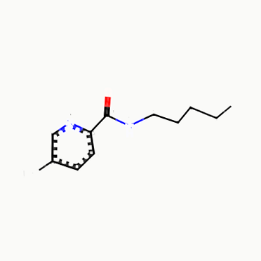 CC(C)(C)CCCCNC(=O)c1ccc(C(F)(F)F)cn1